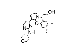 O=c1c(-c2ccnc(NC3CCOCC3)n2)cccn1C(CCO)c1ccc(Cl)c(F)c1